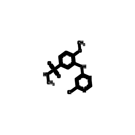 CNS(=O)(=O)c1ccc(OC)c(Nc2cc(Cl)ncn2)c1